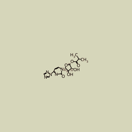 CC(C)C(=O)O[C@H]1O[C@@H](n2ccc(-n3cncn3)nc2=O)[C@H](O)[C@@H]1O